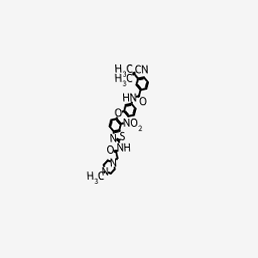 CN1CCN(CC(=O)Nc2nc3ccc(Oc4cccc(NC(=O)c5cccc(C(C)(C)C#N)c5)c4)c([N+](=O)[O-])c3s2)CC1